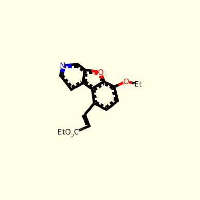 CCOC(=O)C=Cc1ccc(OCC)c2oc3cnccc3c12